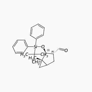 CC(C)(C)[Si](O[C@H]1[C@H](C=O)CC2C[C@@]21C)(c1ccccc1)c1ccccc1